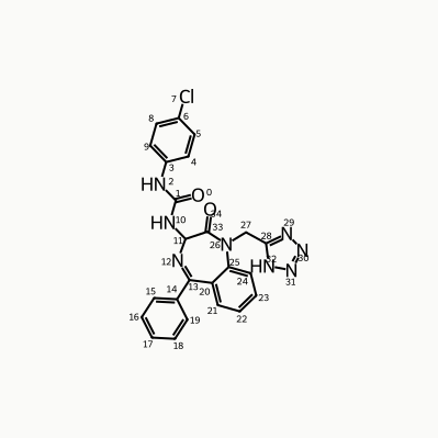 O=C(Nc1ccc(Cl)cc1)NC1N=C(c2ccccc2)c2ccccc2N(Cc2nnn[nH]2)C1=O